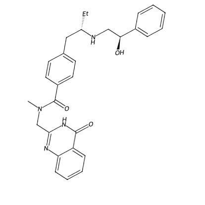 CC[C@@H](Cc1ccc(C(=O)N(C)Cc2nc3ccccc3c(=O)[nH]2)cc1)NC[C@H](O)c1ccccc1